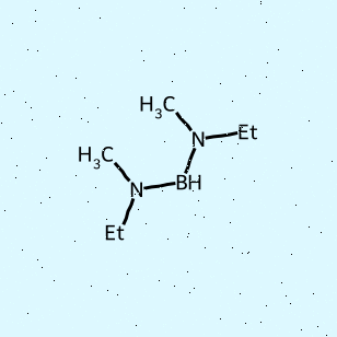 CCN(C)BN(C)CC